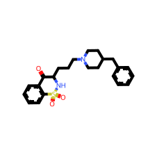 O=C1c2ccccc2S(=O)(=O)NC1CCCN1CCC(Cc2ccccc2)CC1